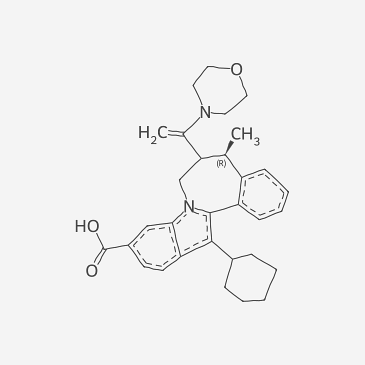 C=C(C1Cn2c(c(C3CCCCC3)c3ccc(C(=O)O)cc32)-c2ccccc2[C@@H]1C)N1CCOCC1